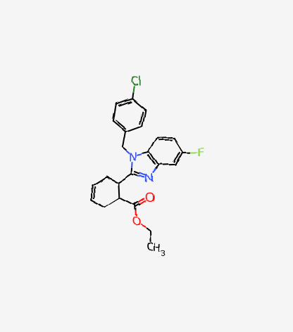 CCOC(=O)C1CC=CCC1c1nc2cc(F)ccc2n1Cc1ccc(Cl)cc1